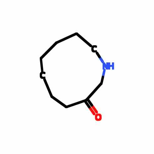 O=C1CCCCCCCNC1